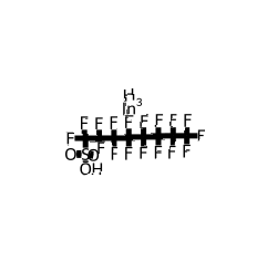 O=S(=O)(O)C(F)(F)C(F)(F)C(F)(F)C(F)(F)C(F)(F)C(F)(F)C(F)(F)C(F)(F)F.[InH3]